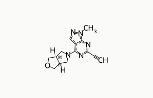 C#Cc1nc(N2C[C@H]3COC[C@H]3C2)c2cnn(C)c2n1